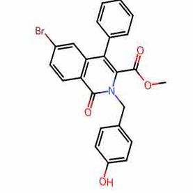 COC(=O)c1c(-c2ccccc2)c2cc(Br)ccc2c(=O)n1Cc1ccc(O)cc1